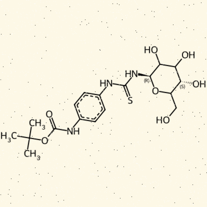 CC(C)(C)OC(=O)Nc1ccc(NC(=S)N[C@@H]2OC(CO)[C@@H](O)C(O)C2O)cc1